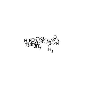 BC1(Oc2ccc3c(c2)OC(B)(B)C(B)(B)O3)CCN(c2nn3c(=O)ccnc3cc2C)CC1